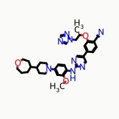 COc1cc(N2CCC(C3CCCOCC3)CC2)ccc1Nc1ncc(-c2ccc(C#N)c(O[C@@H](C)Cn3cncn3)c2)cn1